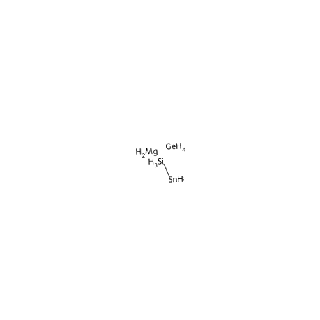 [GeH4].[MgH2].[SiH3][SnH]